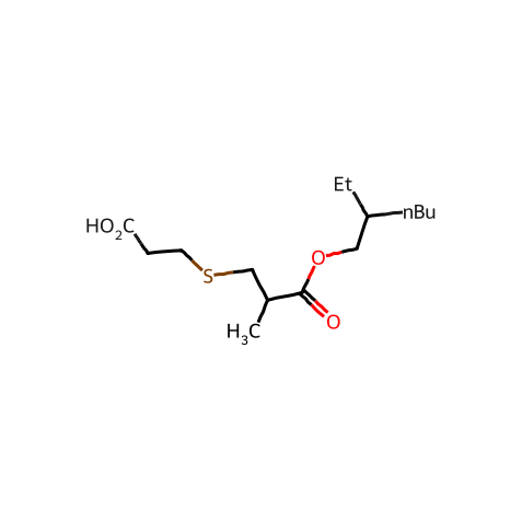 CCCCC(CC)COC(=O)C(C)CSCCC(=O)O